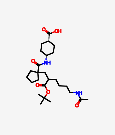 CC(=O)NCCCCC(CC1(C(=O)N[C@H]2CC[C@@H](C(=O)O)CC2)CCCC1)C(=O)OC(C)(C)C